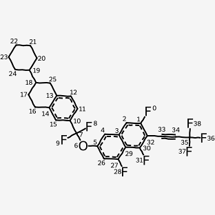 Fc1cc2cc(OC(F)(F)c3ccc4c(c3)CCC(C3CCCCC3)C4)cc(F)c2c(F)c1C#CC(F)(F)F